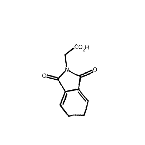 O=C(O)CN1C(=O)C2=CCCC=C2C1=O